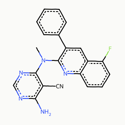 CN(c1nc2cccc(F)c2cc1-c1ccccc1)c1ncnc(N)c1C#N